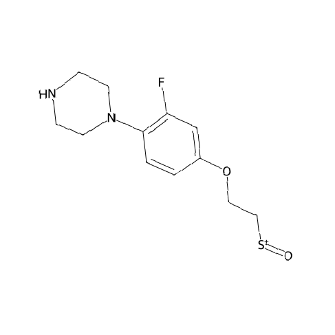 O=[S+]CCOc1ccc(N2CCNCC2)c(F)c1